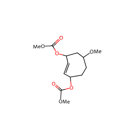 COC(=O)OC1/C=C/C(OC(=O)OC)CC(OC)CC1